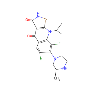 CC1CN(c2c(F)cc3c(=O)c4c(=O)[nH]sc4n(C4CC4)c3c2F)CCN1